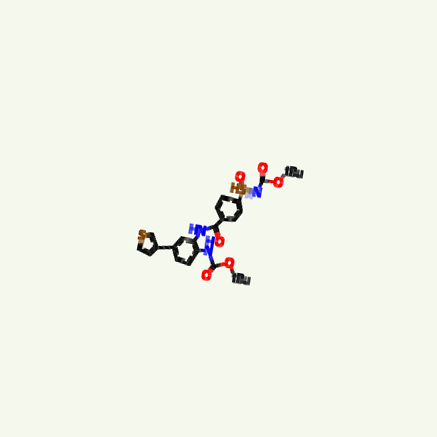 CC(C)(C)OC(=O)/N=[SH](=O)/c1ccc(C(=O)Nc2cc(-c3ccsc3)ccc2NC(=O)OC(C)(C)C)cc1